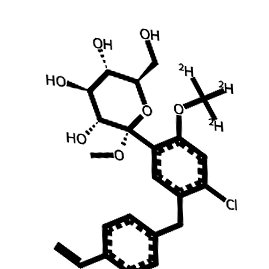 [2H]C([2H])([2H])Oc1cc(Cl)c(Cc2ccc(C=C)cc2)cc1[C@]1(OC)O[C@H](CO)[C@@H](O)[C@H](O)[C@H]1O